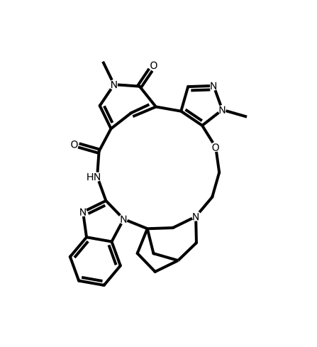 Cn1ncc2c1OCCN1CC3CCC(C3)(C1)n1c(nc3ccccc31)NC(=O)c1cc-2c(=O)n(C)c1